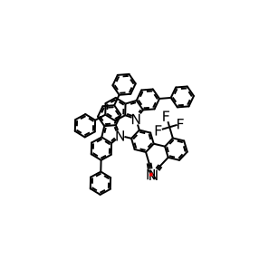 N#Cc1cc(-n2c3cc(-c4ccccc4)ccc3c3ccc(-c4ccccc4)cc32)c(-n2c3cc(-c4ccccc4)ccc3c3ccc(-c4ccccc4)cc32)cc1-c1c(C#N)cccc1C(F)(F)F